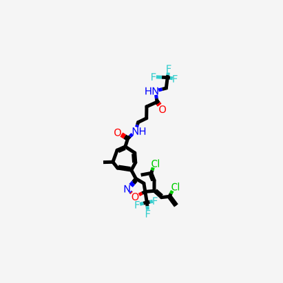 C=C(Cl)/C=C(\C=C(/C)Cl)C1(C(F)(F)F)CC(C2=CC(C)C=C(C(=O)NCCCC(=O)NCC(F)(F)F)C=C2)=NO1